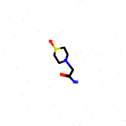 [NH]C(=O)CN1CC[S+]([O-])CC1